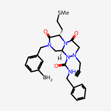 Bc1cccc(CN2C[C@H]3N(C(=O)CN(CC#C)N3C(=O)NCc3ccccc3)[C@@H](CCSC)C2=O)c1